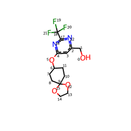 OCc1cc(OC2CCC3(CC2)OCCO3)nc(C(F)(F)F)n1